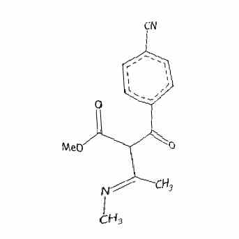 C/N=C(\C)C(C(=O)OC)C(=O)c1ccc(C#N)cc1